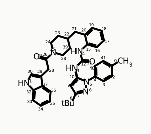 Cc1ccc(-n2nc(C(C)(C)C)cc2NC(=O)Nc2ccccc2CC2CCN(C(=O)Cc3c[nH]c4ccccc34)CC2)cc1